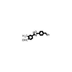 Cc1cc(-c2noc(-c3ccc(CC(C)C)cc3)n2)ccc1C=O